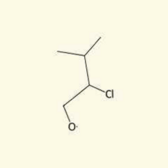 CC(C)C(Cl)C[O]